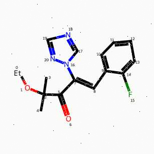 CCOC(C)(C)C(=O)C(=Cc1ccccc1F)n1cncn1